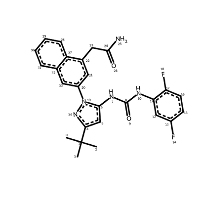 CC(C)(C)c1cc(NC(=O)Nc2cc(F)ccc2F)n(-c2cc(CC(N)=O)c3ccccc3c2)n1